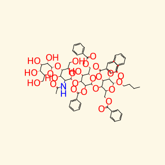 CCCCO[C@@H]1OC(COC(=O)c2ccccc2)[C@@H](O[C@@H]2OC(COC(=O)c3ccccc3)[C@H](O)C(O[C@@H]3OC(CO)[C@@H](O[C@@H]4OC(CO)[C@H](O)C(O)[C@@H]4O)C(O)[C@@H]3NC(C)=O)[C@@H]2OC(=O)c2ccccc2)C(OC(=O)c2ccccc2)[C@@H]1OC(=O)c1ccccc1